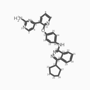 Nc1nccc(-c2cccnc2Oc2ccc(Nc3nnc(C4CCCCC4)c4ccccc34)cc2)n1